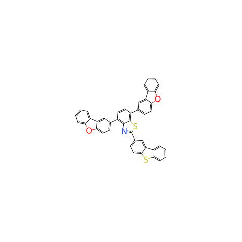 c1ccc2c(c1)oc1ccc(-c3ccc(-c4ccc5oc6ccccc6c5c4)c4sc(-c5ccc6sc7ccccc7c6c5)nc34)cc12